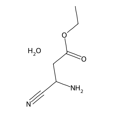 CCOC(=O)CC(N)C#N.O